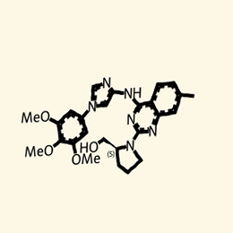 COc1cc(-n2cnc(Nc3nc(N4CCC[C@H]4CO)nc4cc(C)ccc34)c2)cc(OC)c1OC